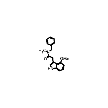 COc1cccc2[nH]cc(CC(=O)N(C)Cc3ccccc3)c12